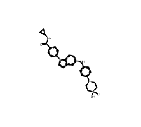 O=C(NC1CC1)c1ccc(-n2ccc3cc(Nc4ccc(N5CCS(O)(O)CC5)cc4)ccc32)cc1